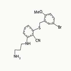 COc1ccc(Br)cc1CSc1cccc(NCCCN)c1C#N